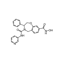 O=C(NO)c1ccc2c(c1)OCC(c1ccccc1)N(C(=O)Nc1cccnc1)C2